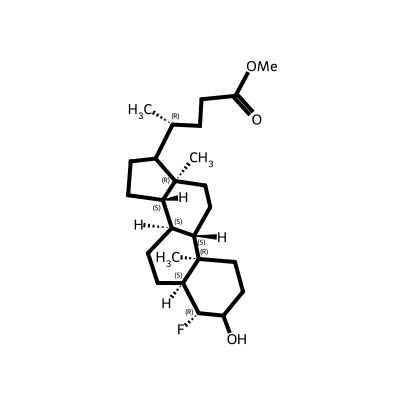 COC(=O)CC[C@@H](C)C1CC[C@H]2[C@@H]3CC[C@@H]4[C@@H](F)C(O)CC[C@]4(C)[C@H]3CC[C@]12C